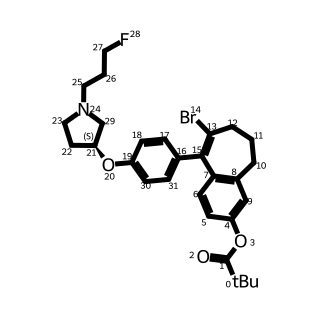 CC(C)(C)C(=O)Oc1ccc2c(c1)CCCC(Br)=C2c1ccc(O[C@H]2CCN(CCCF)C2)cc1